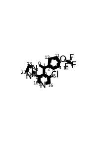 CC(c1ccc(OC(F)(F)F)cc1)c1c(Cl)cncc1-n1nccn1